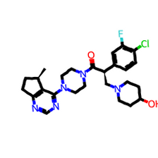 C[C@@H]1CCc2ncnc(N3CCN(C(=O)[C@H](CN4CCC(O)CC4)c4ccc(Cl)c(F)c4)CC3)c21